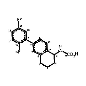 O=C(O)NC1CCCc2cc(-c3cc(F)ccc3F)ccc21